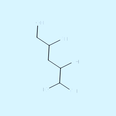 CC(O)C(S)CC(S)CO